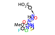 COC(=O)C1=C(CN2CCN3C(=O)N(CC#Cc4ccc(C(=O)O)cc4)C[C@H]3C2)NC(c2nccs2)=N[C@H]1c1ccc(F)cc1Cl